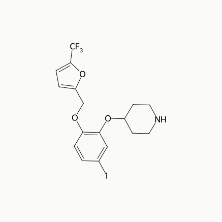 FC(F)(F)c1ccc(COc2ccc(I)cc2OC2CCNCC2)o1